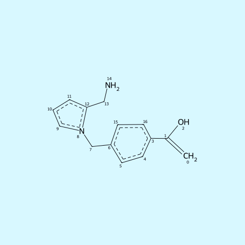 C=C(O)c1ccc(Cn2cccc2CN)cc1